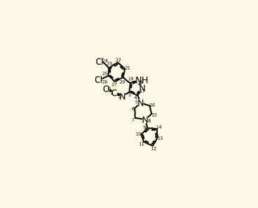 O=C=Nc1c(N2CCN(c3ccccc3)CC2)n[nH]c1-c1ccc(Cl)c(Cl)c1